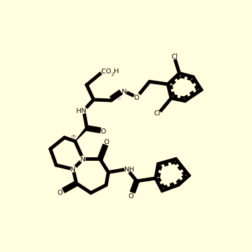 O=C(O)CC(/C=N/OCc1c(Cl)cccc1Cl)NC(=O)[C@@H]1CCCN2C(=O)CCC(NC(=O)c3ccccc3)C(=O)N12